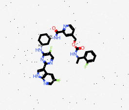 CC(NC(=O)OCc1ccnc(C(=O)N[C@H]2CCC[C@@H](Nc3nc(-c4c[nH]c5ncc(F)cc45)ncc3F)C2)c1)c1ccccc1F